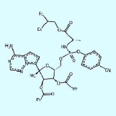 CCC(CC)COC(=O)[C@H](C)NP(=O)(OC[C@H]1O[C@@](C#N)(c2ccc3c(N)ncnn23)[C@H](OC(=O)C(C)C)[C@@H]1OC(=O)C(C)C)Oc1ccc(C#N)cc1